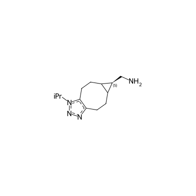 CC(C)n1nnc2c1CCC1C(CC2)[C@@H]1CN